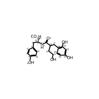 O=C(N[C@@H](Cc1ccc(O)cc1)C(=O)O)C(CCO)Cc1ccc(O)cc1O